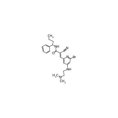 CCCC(NC(=O)/C(C#N)=C/c1cc(NCCN(C)C)cc(Br)n1)c1ccccc1